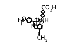 CC#Cc1ccc(C(=O)NC2CC3(C2)CC(C(=O)O)C3)c2c1cnn2[C@@H](C)c1ccc(OC(F)F)cc1